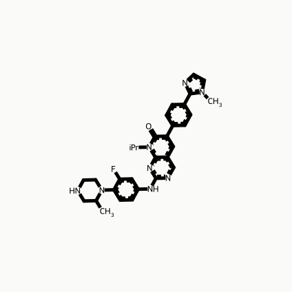 CC1CNCCN1c1ccc(Nc2ncc3cc(-c4ccc(-c5nccn5C)cc4)c(=O)n(C(C)C)c3n2)cc1F